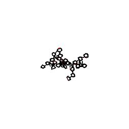 c1ccc(-c2cccc(-c3ccc(N(c4ccc(-c5ccc(-c6ccccc6)cc5-n5c6ccccc6c6ccccc65)cc4)c4ccc(-c5cc(-c6ccc(-c7ccccc7-c7cccc(N(c8ccc(-c9ccc(-c%10ccccc%10)cc9-n9c%10ccccc%10c%10ccccc%109)cc8)c8ccc(-c9cccc%10c9oc9ccccc9%10)cc8)c7)cc6)cc6c5oc5ccccc56)cc4)cc3)c2)cc1